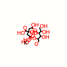 O=C(O)CC(O)(CC(=O)O)C(=O)O.O=CC(O)C(O)C(O)C(O)CO.[K+].[OH-]